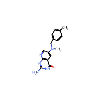 Cc1ccc(CN(C)c2cnc3nc(N)[nH]c(=O)c3c2)cc1